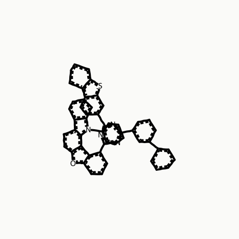 c1ccc(-c2cccc(-c3nc(-c4ccc5c(c4)sc4ccccc45)nc(-c4cccc5oc6ccc7c8ccccc8n(-c8ccccc8)c7c6c45)n3)c2)cc1